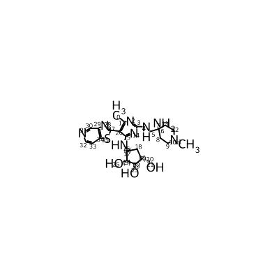 Cc1nc(NCC2(N)CCN(C)CC2)nc(N[C@@H]2C[C@H](CO)[C@@H](O)[C@H]2O)c1-c1nc2cnccc2s1